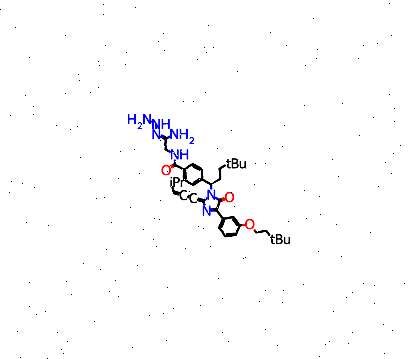 CC(C)C=C=C=C1N=C(c2cccc(OCCC(C)(C)C)c2)C(=O)N1[C@H](CCC(C)(C)C)c1ccc(C(=O)NC/C(N)=N/NN)cc1